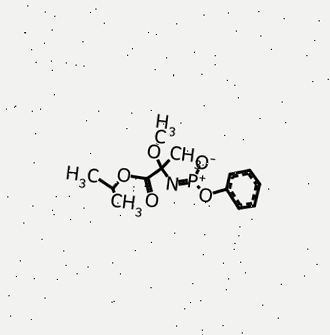 COC(C)(N=[P+]([O-])Oc1ccccc1)C(=O)OC(C)C